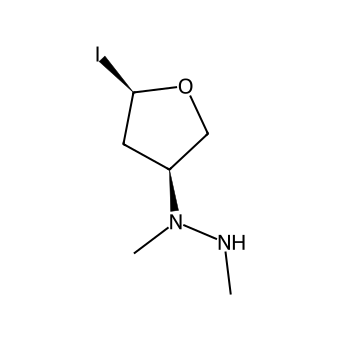 CNN(C)[C@@H]1CO[C@H](I)C1